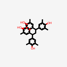 Cc1cc(C(CC(c2cc(C)c(O)c(C)c2)c2cc(C)c(O)c(C)c2)c2cc(C)c(O)c(C)c2)cc(C)c1O